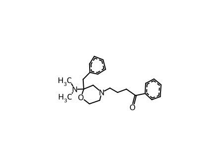 CN(C)C1(Cc2ccccc2)CN(CCCC(=O)c2ccccc2)CCO1